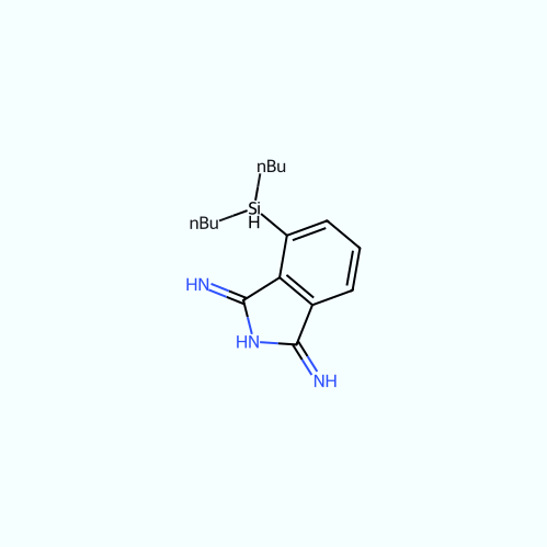 CCCC[SiH](CCCC)c1cccc2c1C(=N)NC2=N